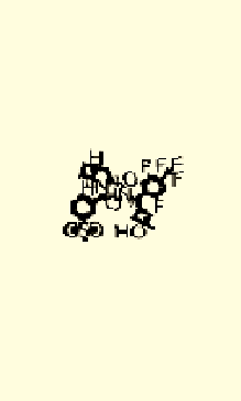 CC1(O)CC([C@@H](NC(=O)[C@H]2C[C@H]3C=C[C@H]3N2C(=O)c2cccc(S(C)(=O)=O)c2)c2cc(F)c(C(F)(F)F)cc2F)C1